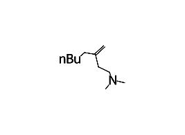 C=C(CCCCC)CCN(C)C